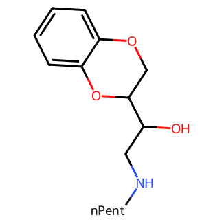 CCCCCNCC(O)C1COc2ccccc2O1